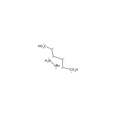 CCCCN.O=C(O)CCCCC(=O)O